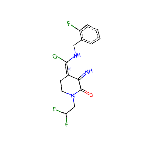 N=C1C(=O)N(CC(F)F)CC/C1=C(\Cl)NCc1ccccc1F